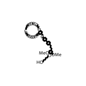 COc1cc(CCCc2ccc(-c3ccc(OCC4=C=C=C5OCCOCCOCCCC=CCCCOCCOCCOC5C4)cc3)cc2)cc(OC)c1OCCCCCCO